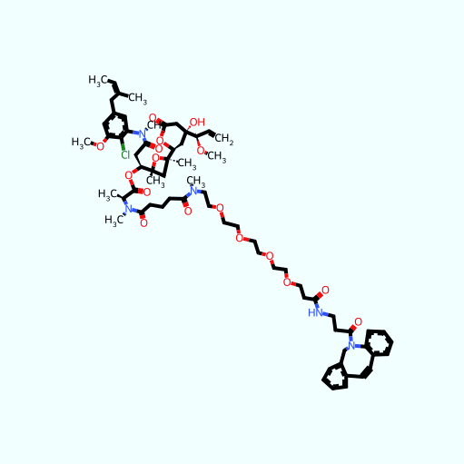 C=C[C@@H](OC)[C@]1(O)CC(=O)O[C@H]([C@@]2(C)C[C@](C)([C@H](CC(=O)N(C)c3cc(C/C(C)=C\C)cc(OC)c3Cl)OC(=O)[C@H](C)N(C)C(=O)CCCC(=O)N(C)CCOCCOCCOCCOCCC(=O)NCCC(=O)N3Cc4ccccc4C#Cc4ccccc43)O2)C1